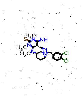 CN(c1c(C#N)c(=N)n(C)c(=S)n1C)C1CCCN(Cc2ccc(Cl)c(Cl)c2)C1